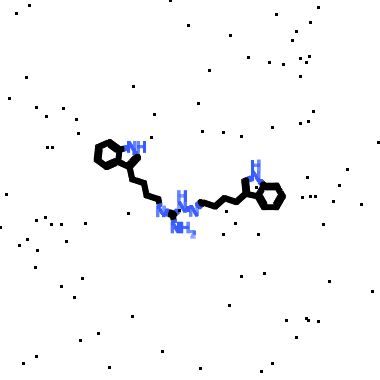 NC(=NCCCCc1c[nH]c2ccccc12)NN=CCCCc1c[nH]c2ccccc12